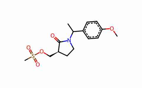 COc1ccc(C(C)N2CC[C@@H](COS(C)(=O)=O)C2=O)cc1